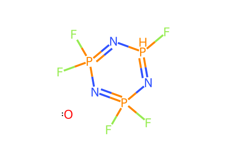 F[PH]1=NP(F)(F)=NP(F)(F)=N1.[O]